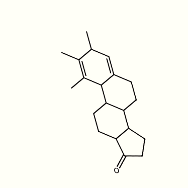 CC1=C(C)C2C(=CC1C)CCC1C3CCC(=O)C3CCC21